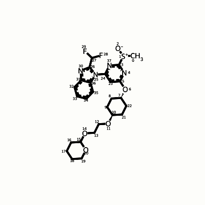 C[S+]([O-])c1nc(O[C@H]2CC[C@H](OCCOC3CCCCO3)CC2)cc(-n2c(C(F)F)nc3ccccc32)n1